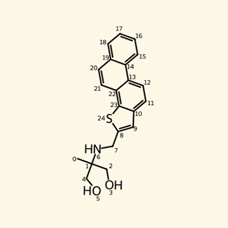 CC(CO)(CO)NCc1cc2ccc3c4ccccc4ccc3c2s1